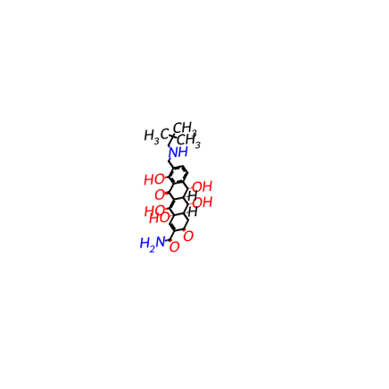 CC(C)(C)CNCc1ccc2c(c1O)C(=O)C1=C(O)[C@]3(O)C=C(C(N)=O)C(=O)C[C@@H]3[C@@H](O)[C@@H]1[C@H]2O